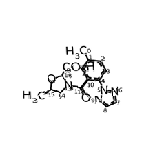 Cc1ccc(-n2nccn2)c(C(=O)N2C[C@@H](C)OC2C(=O)O)c1